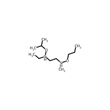 CCCO[SiH](C)CC[SiH](CC)OC(C)C